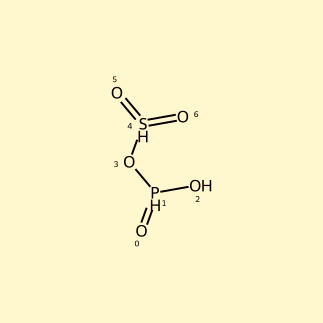 O=[PH](O)O[SH](=O)=O